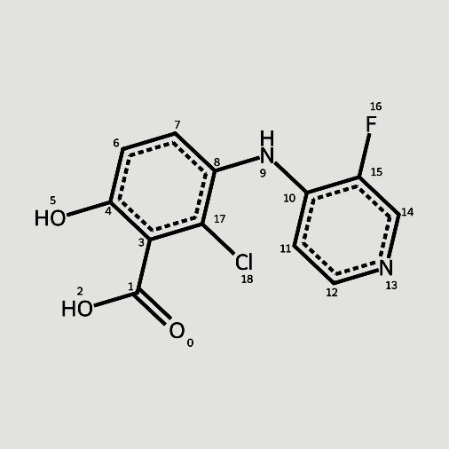 O=C(O)c1c(O)ccc(Nc2ccncc2F)c1Cl